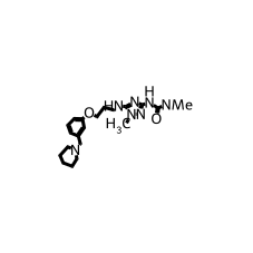 CNC(=O)Nc1nc(NCCCOc2cccc(CN3CCCCC3)c2)n(C)n1